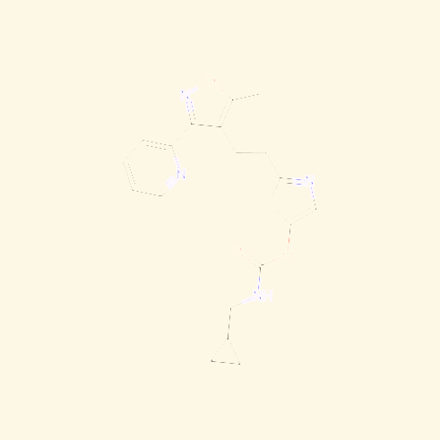 Cc1onc(-c2ccccn2)c1CCc1ncc(OC(=O)NCC2CC2)s1